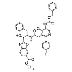 COC(=O)c1ccc2nc(C(O)C(Cc3ccccc3)NC(=O)Cn3c(-c4ccc(F)cc4)ncc(NC(=O)OCc4ccccc4)c3=O)oc2c1